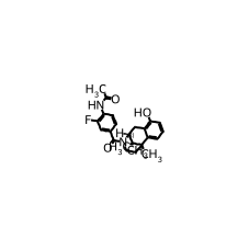 CC(=O)Nc1ccc(C(=O)N2CCC3(C)c4cccc(O)c4C[C@@H]2C3(C)C)cc1F